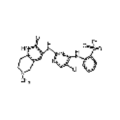 CCS(=O)(=O)c1ccccc1Nc1nc(Nc2cc3c([nH]c2=O)CCN(C)C3)ncc1Cl